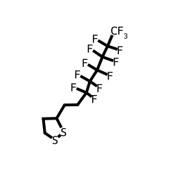 FC(F)(F)C(F)(F)C(F)(F)C(F)(F)C(F)(F)C(F)(F)CCC1CCSS1